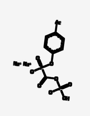 CC(=O)c1ccc(OP(=O)([O-])C(=O)OP(=O)([O-])O)cc1.[Na+].[Na+]